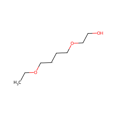 CCOC[CH]CCOCCO